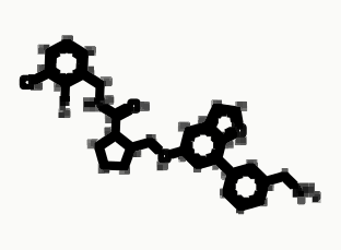 NCc1cccc(-c2cc(OCC3CCCC3C(=O)NCc3cccc(Cl)c3F)cc3ccoc23)c1